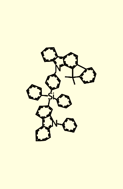 CC1(C)c2ccccc2-c2ccc3c4ccccc4n(-c4ccc([Si](c5ccccc5)(c5ccccc5)c5ccc6c7ccccc7n(-c7ccccc7)c6c5)cc4)c3c21